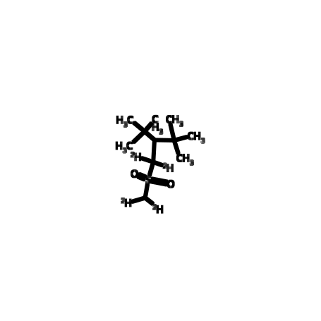 [2H]C([2H])S(=O)(=O)C([2H])([2H])C(C(C)(C)C)C(C)(C)C